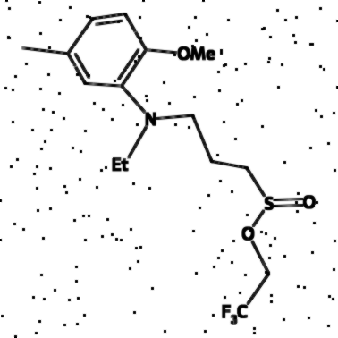 CCN(CCCS(=O)OCC(F)(F)F)c1cc(C)ccc1OC